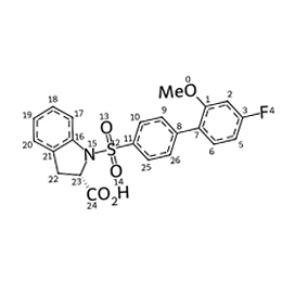 COc1cc(F)ccc1-c1ccc(S(=O)(=O)N2c3ccccc3C[C@H]2C(=O)O)cc1